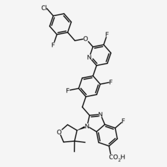 CC1(C)COC[C@H]1n1c(Cc2cc(F)c(-c3ccc(F)c(OCc4ccc(Cl)cc4F)n3)cc2F)nc2c(F)cc(C(=O)O)cc21